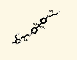 CC(C)(c1ccc(OC[C@H](O)CCl)cc1)c1ccc(OC[C@@H](O)Cn2nnc(I)c2CO)cc1